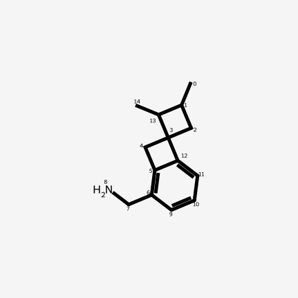 CC1CC2(Cc3c(CN)cccc32)C1C